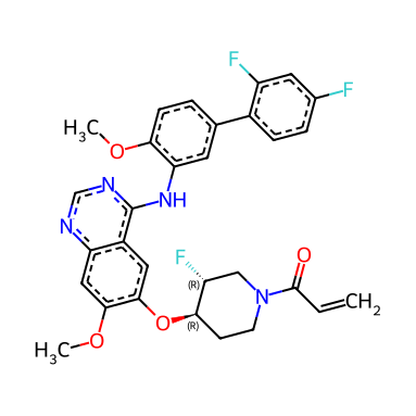 C=CC(=O)N1CC[C@@H](Oc2cc3c(Nc4cc(-c5ccc(F)cc5F)ccc4OC)ncnc3cc2OC)[C@H](F)C1